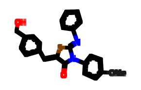 COc1ccc(N2C(=O)C(=Cc3ccc(CO)cc3)SC2=Nc2ccccc2)cc1